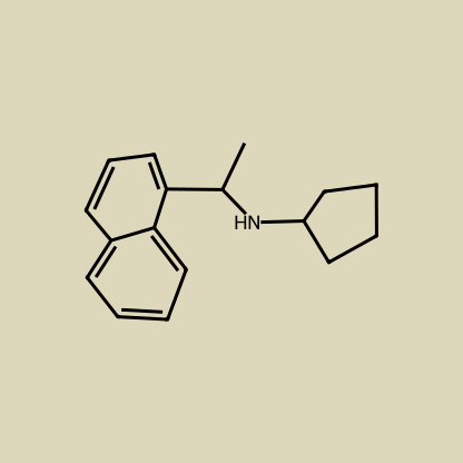 CC(NC1CCCC1)c1cccc2ccccc12